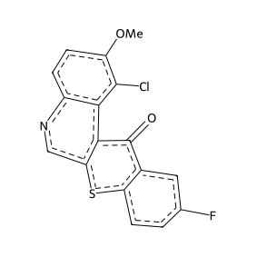 COc1ccc2ncc3sc4ccc(F)cc4c(=O)c3c2c1Cl